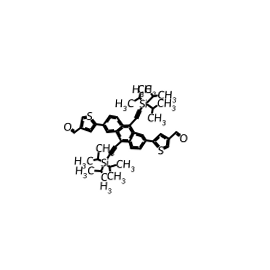 CC(C)[Si](C#Cc1c2ccc(-c3cc(C=O)cs3)cc2c(C#C[Si](C(C)C)(C(C)C)C(C)C)c2ccc(-c3cc(C=O)cs3)cc12)(C(C)C)C(C)C